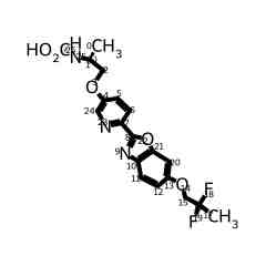 C[C@@H](COc1ccc(-c2nc3ccc(OCC(C)(F)F)cc3o2)nc1)NC(=O)O